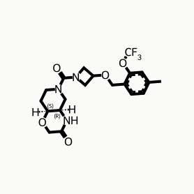 Cc1ccc(COC2CN(C(=O)N3CC[C@@H]4OCC(=O)N[C@@H]4C3)C2)c(OC(F)(F)F)c1